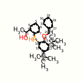 CC(O)c1ccccc1Pc1cc([Si](C)(C)C)cc([Si](C)(C)C)c1OCc1ccccc1